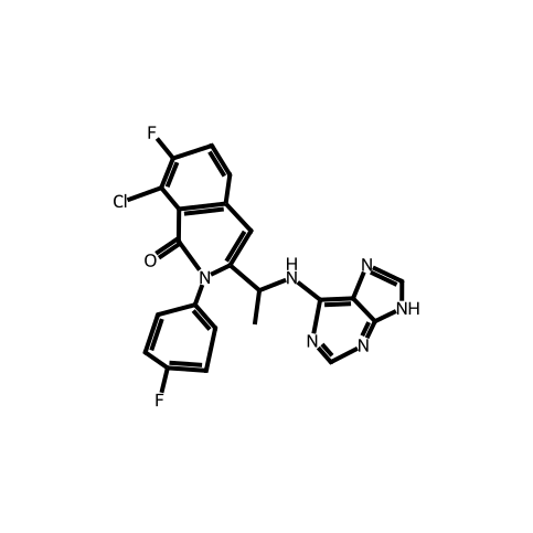 CC(Nc1ncnc2[nH]cnc12)c1cc2ccc(F)c(Cl)c2c(=O)n1-c1ccc(F)cc1